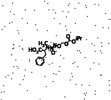 CC(C)OC(=O)OCON=[N+]([O-])N(C)[C@@H](Cc1ccccc1)C(=O)O